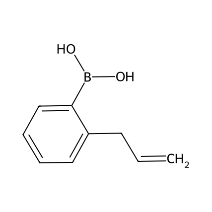 C=CCc1ccccc1B(O)O